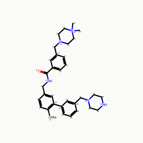 COc1ccc(CNC(=O)c2cccc(CN3CC[N+](C)(C)CC3)c2)cc1-c1cccc(CN2CCNCC2)c1